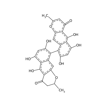 Cc1cc(=O)c2c(O)c3c(O)cc(O)c(-c4c(O)cc(O)c5c(O)c6c(cc45)OC(C)CC6=O)c3cc2o1